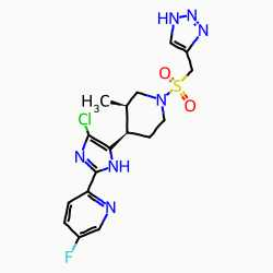 C[C@H]1CN(S(=O)(=O)Cc2c[nH]nn2)CC[C@H]1c1[nH]c(-c2ccc(F)cn2)nc1Cl